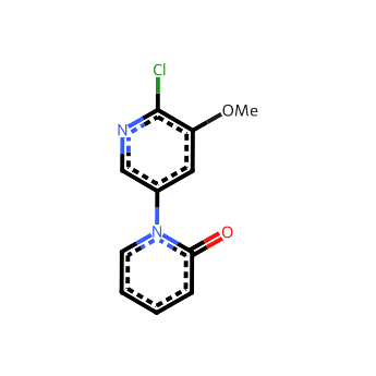 COc1cc(-n2ccccc2=O)cnc1Cl